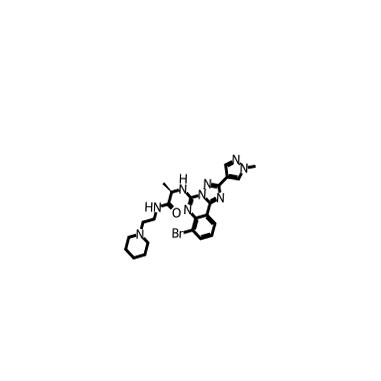 C[C@@H](Nc1nc2c(Br)cccc2c2nc(-c3cnn(C)c3)nn12)C(=O)NCCN1CCCCC1